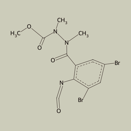 COC(=O)N(C)N(C)C(=O)c1cc(Br)cc(Br)c1N=C=O